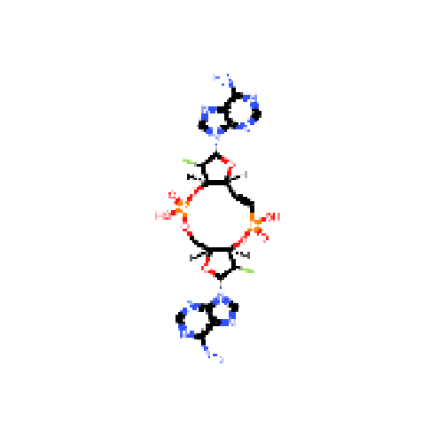 Nc1ncnc2c1ncn2[C@@H]1O[C@@H]2/C=C/P(=O)(O)O[C@H]3[C@@H](F)[C@H](n4cnc5c(N)ncnc54)O[C@@H]3COP(=O)(O)O[C@H]2[C@H]1F